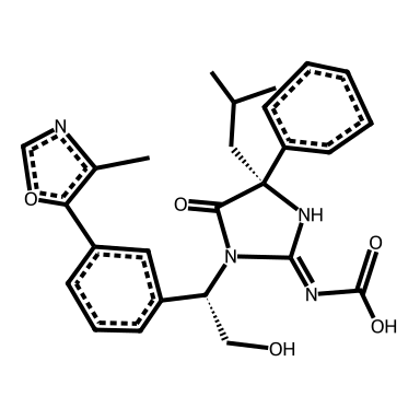 Cc1ncoc1-c1cccc([C@@H](CO)N2C(=O)[C@@](CC(C)C)(c3ccccc3)N/C2=N\C(=O)O)c1